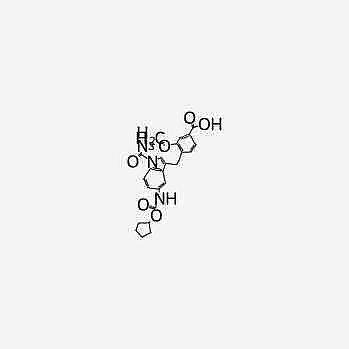 COc1cc(C(=O)O)ccc1Cc1cn(C(N)=O)c2ccc(NC(=O)OC3CCCC3)cc12